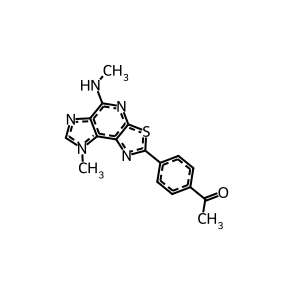 CNc1nc2sc(-c3ccc(C(C)=O)cc3)nc2c2c1ncn2C